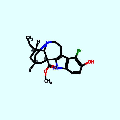 CC[C@H]1C[C@@H]2CN3CCc4c([nH]c5ccc(O)c(Br)c45)[C@](C(=O)OC)(C2)C13